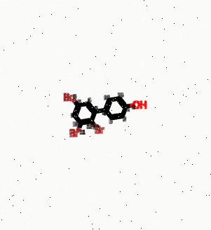 Oc1ccc(-c2cc(Br)cc(Br)c2Br)cc1